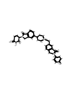 O=C1CCC(N2Cc3cc(C4CCN(Cc5ccc6c(c5)C(=O)N(c5ccc(F)cc5)C6)CC4)ccc3C2=O)C(=O)N1